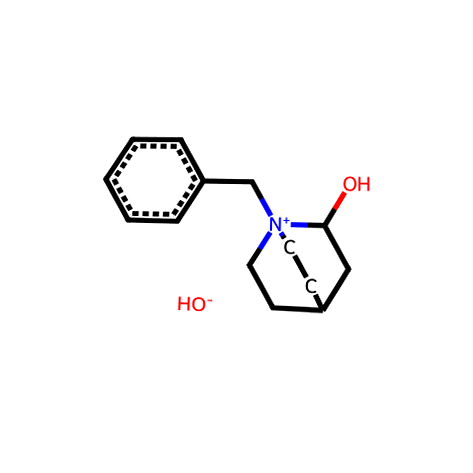 OC1CC2CC[N+]1(Cc1ccccc1)CC2.[OH-]